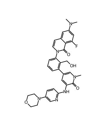 CN(C)c1cc(F)c2c(=O)n(-c3cccc(-c4cc(Nc5ccc(N6CCOCC6)cn5)c(=O)n(C)c4)c3CO)ccc2c1